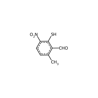 Cc1ccc([N+](=O)[O-])c(S)c1C=O